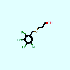 OCCCSCc1cc(Br)c(Br)c(Br)c1Br